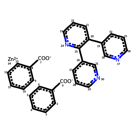 O=C([O-])c1ccccc1.O=C([O-])c1ccccc1.[Zn+2].c1cncc(-c2cccnc2-c2cccnc2)c1